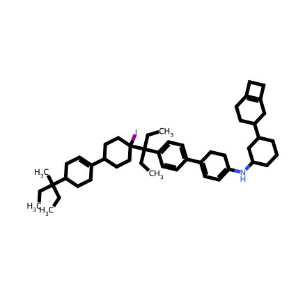 CCC(C)(CC)C1CC=C(C2CCC(I)(C(CC)(CC)c3ccc(C4=CC=C(NC5CCCC(C6CCC7=C(CC7)C6)C5)CC4)cc3)CC2)CC1